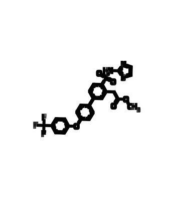 COC(=O)Cc1cc(-c2ccc(Oc3ccc(C(F)(F)F)cc3)cc2)ccc1S(=O)(=O)Nc1nccs1